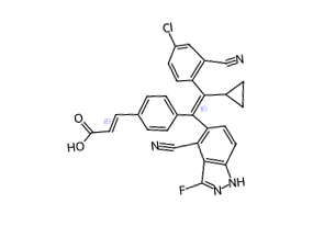 N#Cc1cc(Cl)ccc1/C(=C(\c1ccc(/C=C/C(=O)O)cc1)c1ccc2[nH]nc(F)c2c1C#N)C1CC1